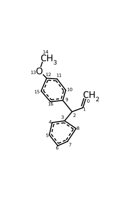 C=CC(c1ccccc1)c1ccc(OC)cc1